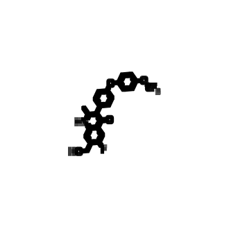 Cc1[nH]c2cc(CO)c(F)cc2c(=O)c1-c1ccc(Oc2ccc(OC(F)(F)F)cc2)cc1